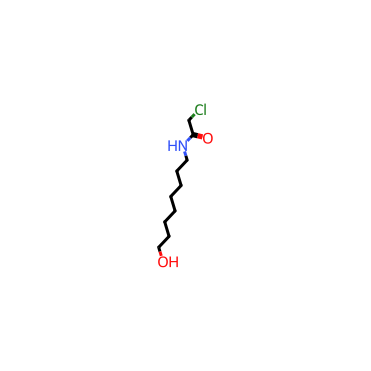 O=C(CCl)NCCCCCCCCO